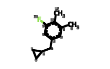 Cc1cc(CC2CC2)cc(F)c1C